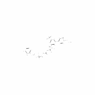 CCCc1ccc(-c2cc(C(F)(F)F)cc(S(=O)(=O)N(C)C[C@H](O)CNC(C)(C)CCCc3ccccc3F)c2)cn1